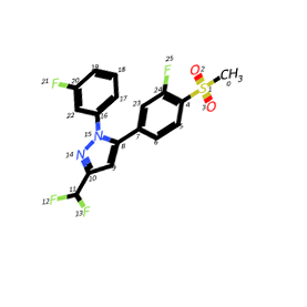 CS(=O)(=O)c1ccc(-c2cc(C(F)F)nn2-c2cccc(F)c2)cc1F